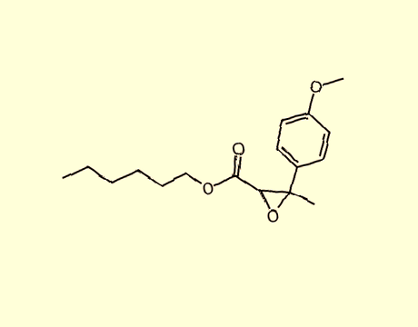 CCCCCCOC(=O)C1OC1(C)c1ccc(OC)cc1